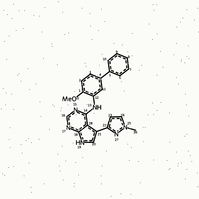 COc1ccc(-c2ccccc2)cc1Nc1ncnc2[nH]cc(-c3ccn(C)n3)c12